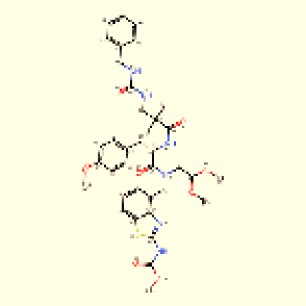 CCOC(CN(Cc1cccc2sc(NC(=O)OC(C)(C)C)nc12)C(=O)[C@H](Cc1ccc(OC(C)(C)C)cc1)NC(=O)C(C)(C)CNC(=O)NCc1ccccc1)OCC